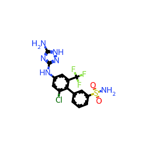 Nc1nc(Nc2cc(Cl)c(-c3cccc(S(N)(=O)=O)c3)c(C(F)(F)F)c2)n[nH]1